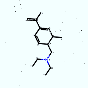 C=C(C)C1=CC(C)C(CN(CC)CC)C=C1